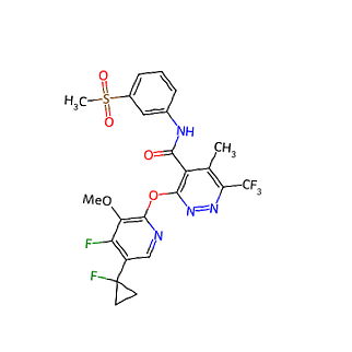 COc1c(Oc2nnc(C(F)(F)F)c(C)c2C(=O)Nc2cccc(S(C)(=O)=O)c2)ncc(C2(F)CC2)c1F